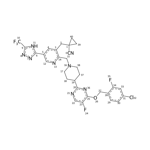 N#CC1(Cc2cc(-c3nnc(C(F)(F)F)[nH]3)cnc2CN2CCC(c3ncc(F)c(OCc4ccc(Cl)cc4F)n3)CC2)CC1